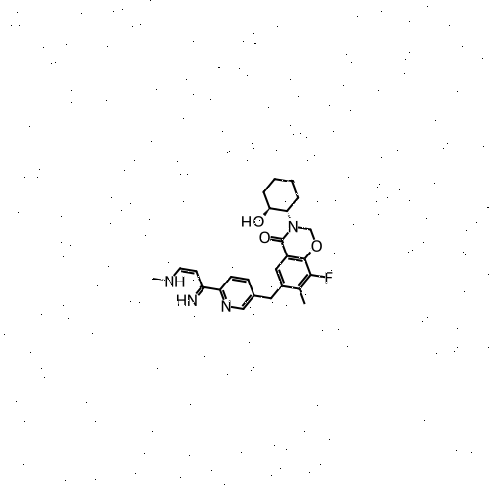 CN/C=C\C(=N)c1ccc(Cc2cc3c(c(F)c2C)OCN([C@H]2CCCC[C@@H]2O)C3=O)cn1